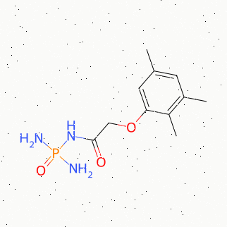 Cc1cc(C)c(C)c(OCC(=O)NP(N)(N)=O)c1